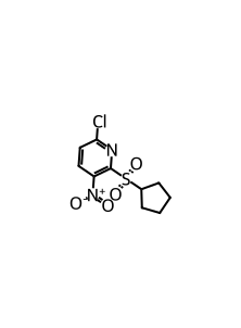 O=[N+]([O-])c1ccc(Cl)nc1S(=O)(=O)C1CCCC1